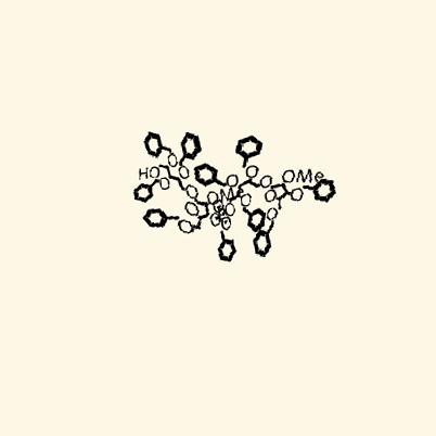 COC1C(OCc2ccccc2)[C@@H](COCc2ccccc2)O[C@H]1OCC(OCc1ccccc1)C(OCc1ccccc1)C(COP(=O)(OCc1ccccc1)OC1C(OC)[C@H](OCC(OCc2ccccc2)C(OCc2ccccc2)C(CO)OCc2ccccc2)O[C@@H]1COCc1ccccc1)OCc1ccccc1